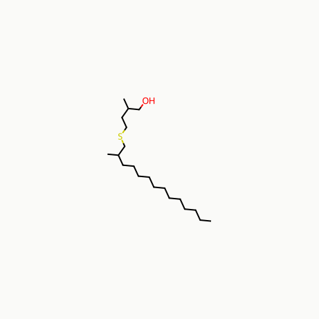 CCCCCCCCCCCCC(C)CSCCC(C)CO